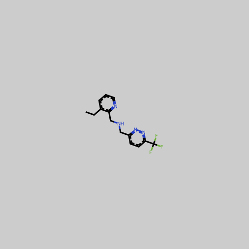 CCc1cccnc1CNCc1ccc(C(F)(F)F)nn1